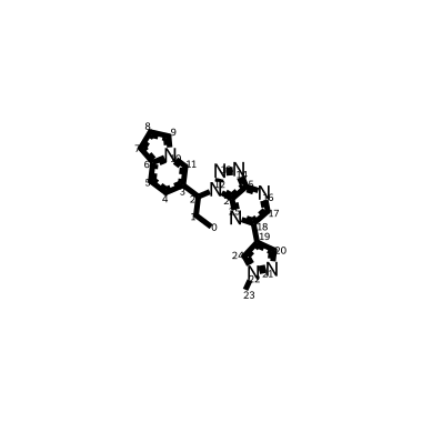 CCC(c1ccc2cccn2c1)n1nnc2ncc(-c3cnn(C)c3)nc21